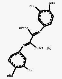 CCCCCCCCC(=N\c1ccc(CCCC)c(CCCC)c1)/C(CCCCC)=N/c1ccc(CCCC)c(CCCC)c1.[Pd]